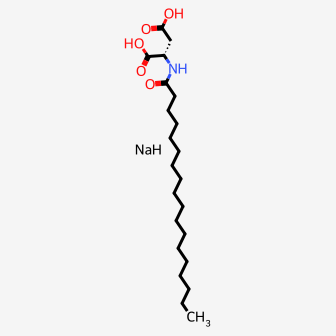 CCCCCCCCCCCCCCCCCC(=O)N[C@@H](CC(=O)O)C(=O)O.[NaH]